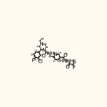 CCN1CCN(C(=O)NCc2ccc(C(=O)NNC(=O)C(F)F)cn2)C(c2ccc(F)c(Cl)c2)C1